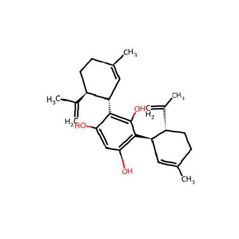 C=C(C)[C@H]1CCC(C)=C[C@@H]1c1c(O)cc(O)c([C@@H]2C=C(C)CC[C@H]2C(=C)C)c1O